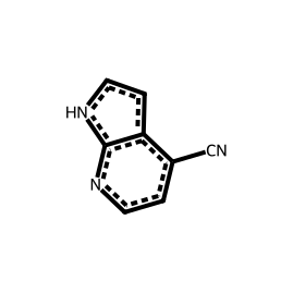 N#Cc1ccnc2[nH]ccc12